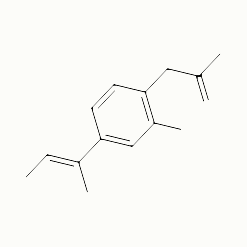 C/C=C(\C)c1ccc(CC(C)=S)c(F)c1